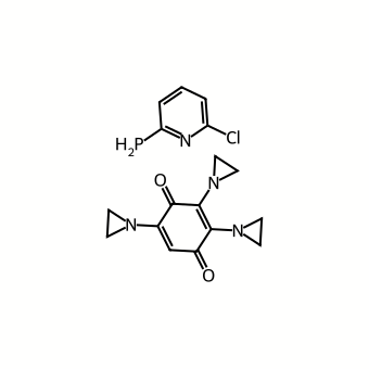 O=C1C=C(N2CC2)C(=O)C(N2CC2)=C1N1CC1.Pc1cccc(Cl)n1